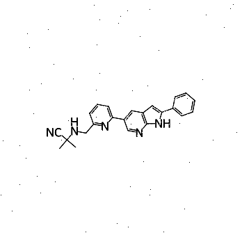 CC(C)(C#N)NCc1cccc(-c2cnc3[nH]c(-c4ccccc4)cc3c2)n1